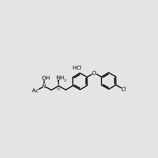 CC(=O)N(O)C[C@@H](N)Cc1ccc(Oc2ccc(Cl)cc2)cc1.Cl